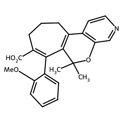 COc1ccccc1C1=C(C(=O)O)CCCC2=C1C(C)(C)Oc1cnccc12